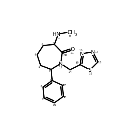 CNC1CCCC(c2ccccc2)N(Cc2nncs2)C1=O